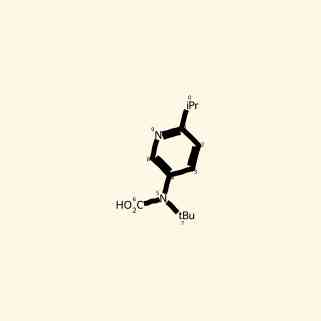 CC(C)c1ccc(N(C(=O)O)C(C)(C)C)cn1